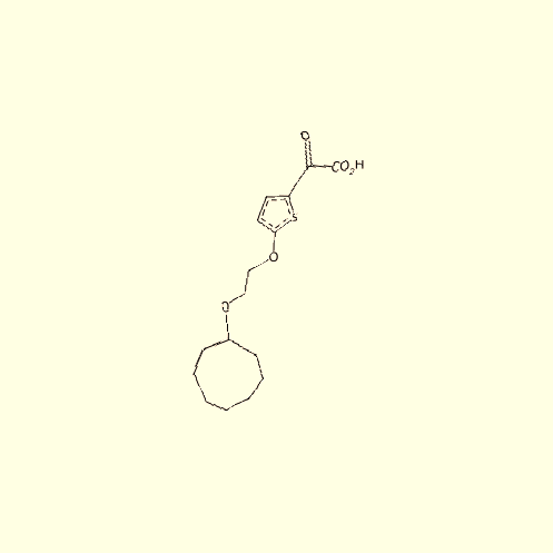 O=C(O)C(=O)c1ccc(OCCOC2CCCCCCC2)s1